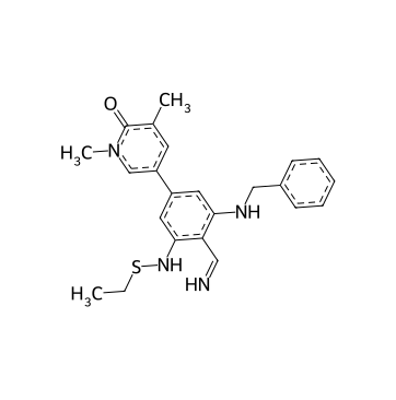 CCSNc1cc(-c2cc(C)c(=O)n(C)c2)cc(NCc2ccccc2)c1C=N